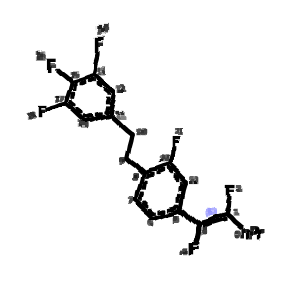 CCC/C(F)=C(\F)c1ccc(CCc2cc(F)c(F)c(F)c2)c(F)c1